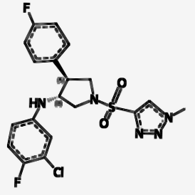 Cn1cc(S(=O)(=O)N2C[C@H](Nc3ccc(F)c(Cl)c3)[C@@H](c3ccc(F)cc3)C2)nn1